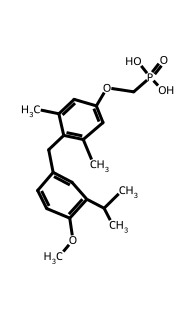 COc1ccc(Cc2c(C)cc(OCP(=O)(O)O)cc2C)cc1C(C)C